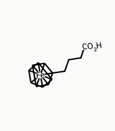 O=C(O)CCC[C]12[CH]3[CH]4[CH]5[CH]1[Fe]45321678[CH]2[CH]1[CH]6[CH]7[CH]28